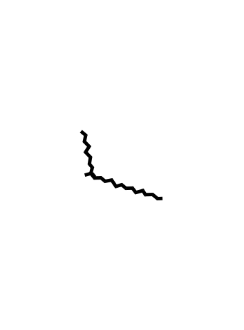 CCCCCCCCCCCCCC=C(C)CCCCCCCC